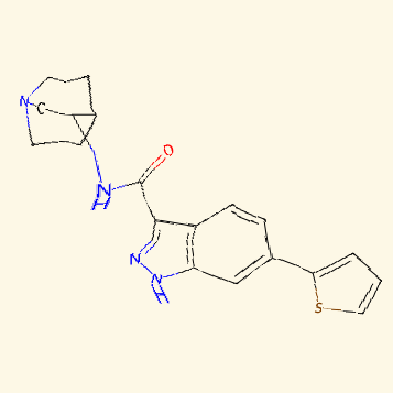 O=C(NC1CN2CCC1CC2)c1n[nH]c2cc(-c3cccs3)ccc12